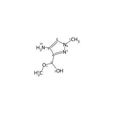 COC(O)c1nn(C)cc1N